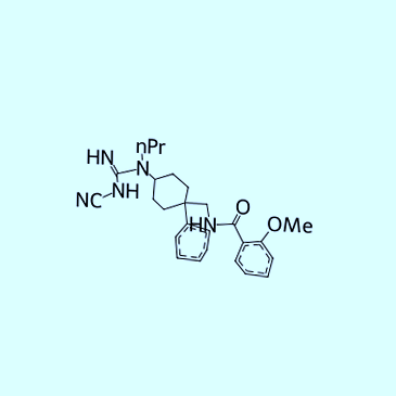 CCCN(C(=N)NC#N)C1CCC(CNC(=O)c2ccccc2OC)(c2ccccc2)CC1